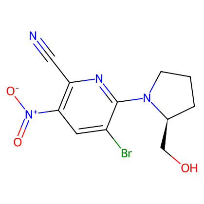 N#Cc1nc(N2CCC[C@H]2CO)c(Br)cc1[N+](=O)[O-]